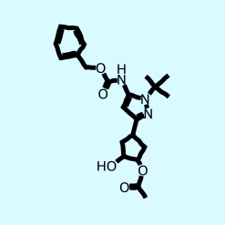 CC(=O)OC1CC(c2cc(NC(=O)OCc3ccccc3)n(C(C)(C)C)n2)CC1O